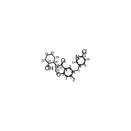 Cc1cc2c(cc1Cc1ccc(Cl)nc1)C(=O)N(C1CCCC[C@@H]1O)CO2